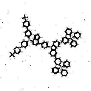 CC(C)(C)C1=CCC(C2CC=C(N(c3ccc(-c4ccc(C(C)(C)C)cc4)cc3)c3ccc(-c4ccc(-n5c6c(c7cc(-c8ccc([Si](c9ccccc9)(c9ccccc9)c9ccccc9)cc8)ccc75)C=C(C5CCC([Si](c7ccccc7)(c7ccccc7)C7CCCCC7)CC5)CC6)cc4)c4c3=CCC=4)CC2)C=C1